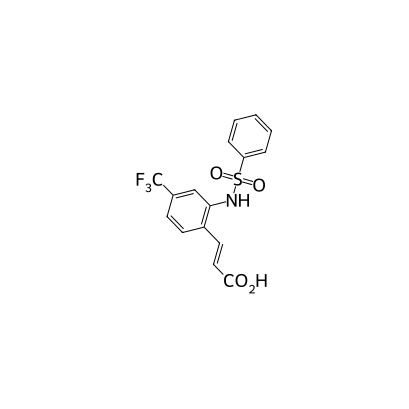 O=C(O)C=Cc1ccc(C(F)(F)F)cc1NS(=O)(=O)c1ccccc1